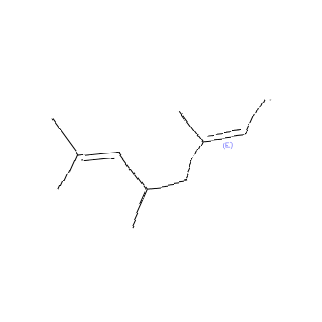 [CH2]/C=C(\C)CC(C)C=C(C)C